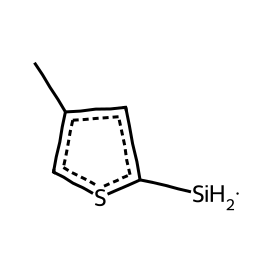 Cc1csc([SiH2])c1